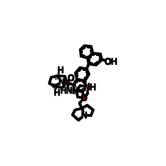 O=C(N[C@H]1CCCNC1)N1[C@@H]2CC[C@H]1CN(c1nc(OCC34CCCN3CCC4)nc3cc(-c4cc(O)cc5ccccc45)ccc13)C2